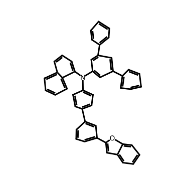 c1ccc(-c2cc(-c3ccccc3)cc(N(c3ccc(-c4cccc(-c5cc6ccccc6o5)c4)cc3)c3cccc4ccccc34)c2)cc1